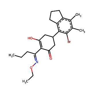 CCC/C(=N\OCC)C1=C(O)CC(c2c(Br)c(C)c(C)c3c2CCC3)CC1=O